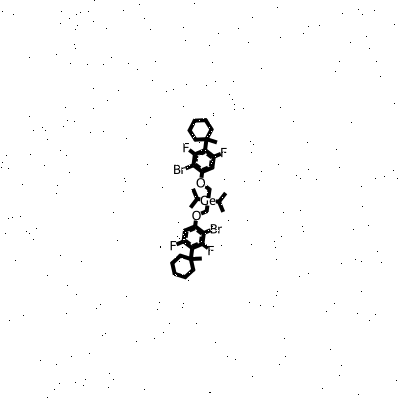 C[CH](C)[Ge]([CH2]Oc1cc(F)c(C2(C)CCCCC2)c(F)c1Br)([CH2]Oc1cc(F)c(C2(C)CCCCC2)c(F)c1Br)[CH](C)C